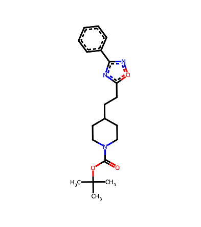 CC(C)(C)OC(=O)N1CCC(CCc2nc(-c3ccccc3)no2)CC1